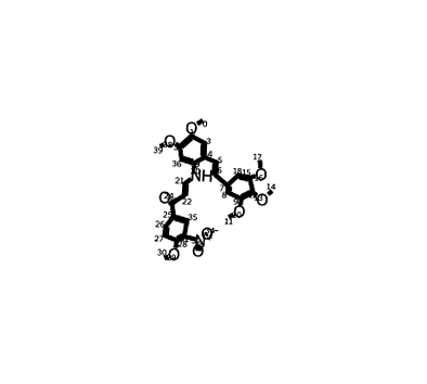 COc1cc(C=Cc2cc(OC)c(OC)c(OC)c2)c(NC=CC(=O)c2ccc(OC)c([N+](=O)[O-])c2)cc1OC